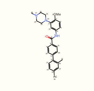 COc1ccc(NC(=O)c2ccc(-c3ccc(C(C)=O)cc3C)cc2)cc1N1CCN(C)CC1